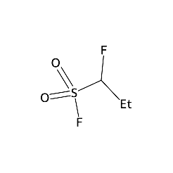 CCC(F)S(=O)(=O)F